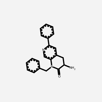 NC1Cc2cc(-c3ccccc3)ncc2N(Cc2ccccc2)C1=O